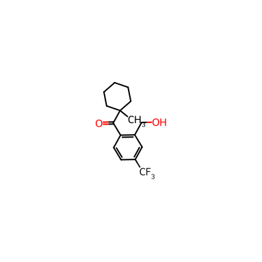 CC1(C(=O)c2ccc(C(F)(F)F)cc2CO)CCCCC1